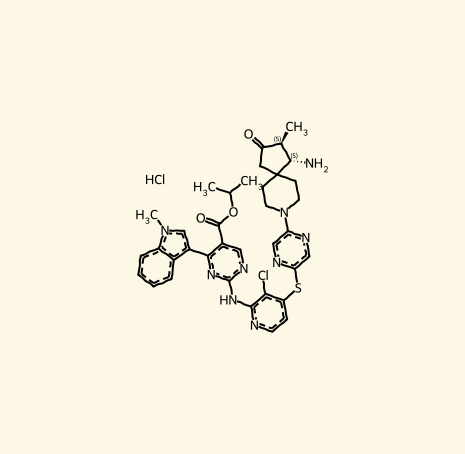 CC(C)OC(=O)c1cnc(Nc2nccc(Sc3cnc(N4CCC5(CC4)CC(=O)[C@@H](C)[C@@H]5N)cn3)c2Cl)nc1-c1cn(C)c2ccccc12.Cl